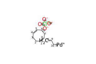 C1=C\CC/C=C\CC/1.C=C[CH2][Pd+].[O-][Cl+3]([O-])([O-])[O-]